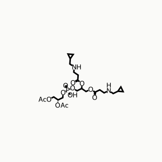 CC(=O)OC[C@H](COP(=O)(O)OCC(COC(=O)CCNCC1CC1)OC(=O)CCNCC1CC1)OC(C)=O